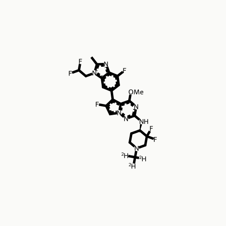 [2H]C([2H])([2H])N1CC[C@@H](Nc2nc(OC)c3c(-c4cc(F)c5nc(C)n(CC(F)F)c5c4)c(F)cn3n2)C(F)(F)C1